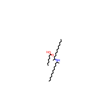 CCCCCCC(=O)O.CCCCCCCCCCCC(C)NC(C)CCCCCCCCCCC